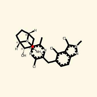 Cc1nc(Cc2ccc3nn(C)c(Cl)c3c2Cl)c(Cl)nc1N1[C@@H]2CC[C@H]1[C@@H](O)[C@@H](N)C2